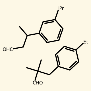 CC(C)c1cccc(C(C)CC=O)c1.CCc1ccc(CC(C)(C)C=O)cc1